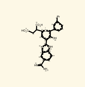 CC(C)c1cccc(-c2cc(C(CC(=O)O)C(=O)O)cc(-c3nc4cc(C(=N)N)ccc4[nH]3)c2O)c1